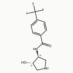 O=C(N[C@H]1CNC[C@@H]1O)c1ccc(C(F)(F)F)cc1